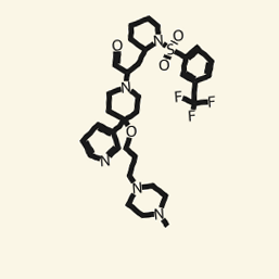 CN1CCN(CCCOC2(c3cccnc3)CCN(C(C=O)CC3CCCCN3S(=O)(=O)c3cccc(C(F)(F)F)c3)CC2)CC1